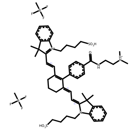 C[B-](F)(F)F.C[B-](F)(F)F.C[NH+](C)CCNC(=O)c1ccc(C2=C(/C=C/C3=[N+](CCCCS(=O)(=O)O)c4ccccc4C3(C)C)CCC/C2=C\C=C2\N(CCCCS(=O)(=O)O)c3ccccc3C2(C)C)cc1